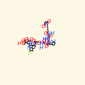 CC[C@@]1(O)C(=O)OCc2c1cc1n(c2=O)Cc2c-1nc1cc(F)c(C)c3c1c2[C@@H](N1C(=O)[C@H]1COCNC(=O)CNC(=O)[C@H](Cc1ccccc1)NC(=O)CNC(=O)CNC(=O)CCCCCN1C(=O)C=CC1=O)CC3